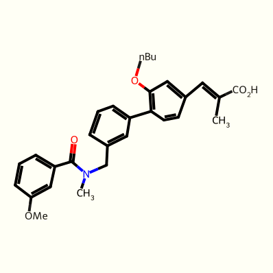 CCCCOc1cc(/C=C(\C)C(=O)O)ccc1-c1cccc(CN(C)C(=O)c2cccc(OC)c2)c1